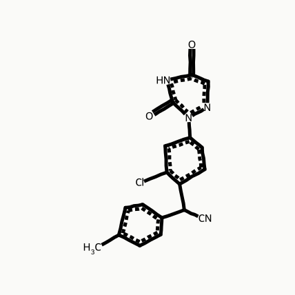 Cc1ccc(C(C#N)c2ccc(-n3ncc(=O)[nH]c3=O)cc2Cl)cc1